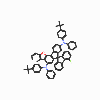 C/C=C\c1oc2c3c(cc(N(c4ccccc4)c4ccc(C(C)(C)C)cc4)c2c1C)C1(c2ccccc2-c2c(F)cccc21)c1cc(N(C2=CC=C(C(C)(C)C)CC2)c2ccccc2)ccc1-3